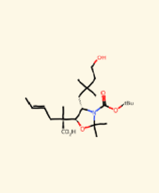 CC=CC[C@@](C)(C(=O)O)[C@@H]1OC(C)(C)N(C(=O)OC(C)(C)C)[C@H]1CC(C)(C)CCO